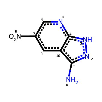 Nc1n[nH]c2ncc([N+](=O)[O-])cc12